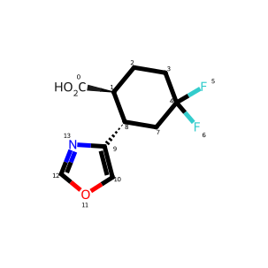 O=C(O)[C@H]1CCC(F)(F)C[C@@H]1c1cocn1